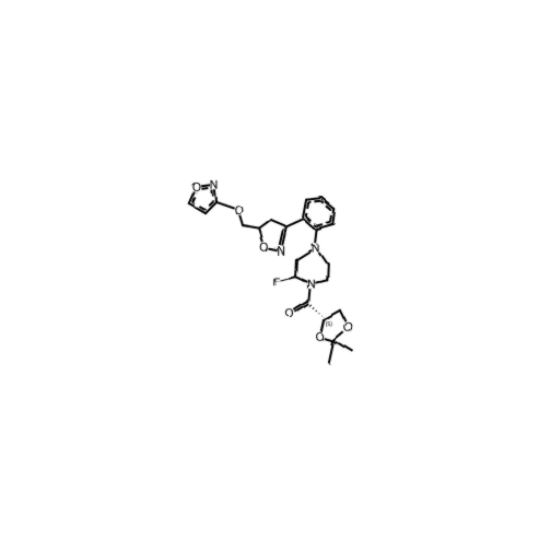 CC1(C)OC[C@@H](C(=O)N2CCN(c3ccccc3C3=NOC(COc4ccon4)C3)CC2F)O1